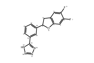 Fc1cc2c(cc1F)OC(c1cccc(-c3nnn[nH]3)c1)C2